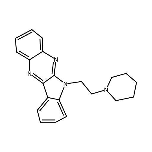 c1ccc2nc3c(nc2c1)c1ccccc1n3CCN1CCCCC1